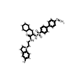 COc1ccc(-c2ccc(S(=O)(=O)NC(CC3CCCCC3)C(=O)NCCN3CCc4cc(F)ccc43)cc2)cc1